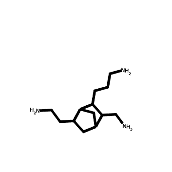 NCCCC1C(CN)C2CC(CCN)C1C2